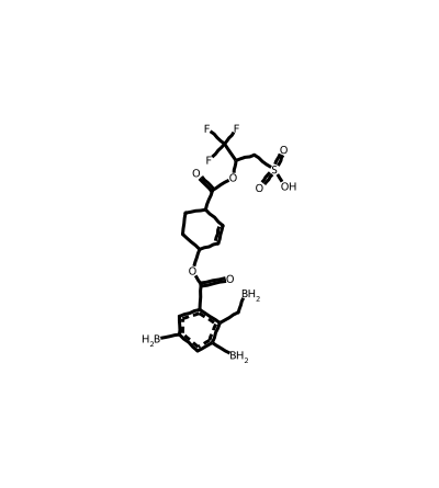 BCc1c(B)cc(B)cc1C(=O)OC1C=CC(C(=O)OC(CS(=O)(=O)O)C(F)(F)F)CC1